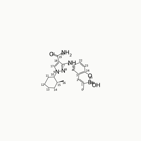 CC1=Cc2cc(Nc3nn(C4CCCC[C@@H]4C)cc3C(N)=O)ccc2OB1O